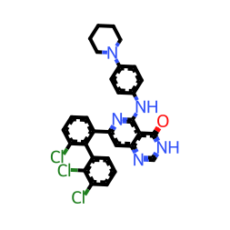 O=c1[nH]cnc2cc(-c3cccc(Cl)c3-c3cccc(Cl)c3Cl)nc(Nc3ccc(N4CCCCC4)cc3)c12